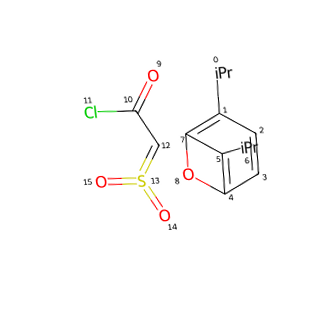 CC(C)c1ccc2c(C(C)C)c1O2.O=C(Cl)C=S(=O)=O